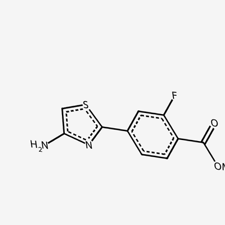 COC(=O)c1ccc(-c2nc(N)cs2)cc1F